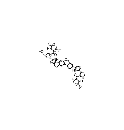 COC[C@H]1C[C@@H](c2nc3c([nH]2)-c2cc4c(cc2CC3)-c2ccc(-c3cnc([C@@H]5CC[C@H](C)N5C(=O)[C@@H](NC(=O)OC)C(C)C)[nH]3)cc2CO4)N(C(=O)[C@@H](NC(=O)OC)[C@@H](C)OC)C1